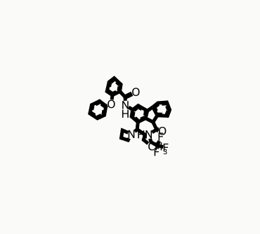 CCCC(c1cc(NC(=O)c2ccccc2Oc2ccccc2)cc2c1C(C(=O)NCC(F)(F)F)c1ccccc1-2)N1CCC1